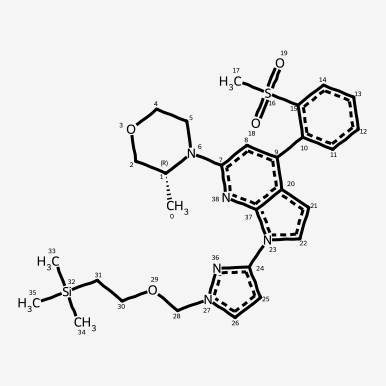 C[C@@H]1COCCN1c1cc(-c2ccccc2S(C)(=O)=O)c2ccn(-c3ccn(COCC[Si](C)(C)C)n3)c2n1